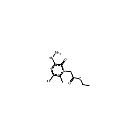 CCOC(=O)Cn1c(C)c(Cl)nc(NN)c1=O